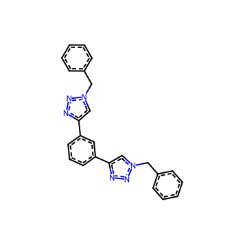 c1ccc(Cn2cc(-c3cccc(-c4cn(Cc5ccccc5)nn4)c3)nn2)cc1